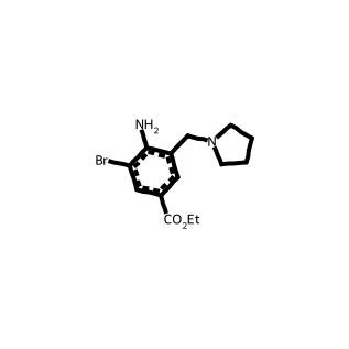 CCOC(=O)c1cc(Br)c(N)c(CN2CCCC2)c1